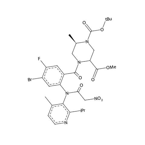 COC(=O)C1CN(C(=O)OC(C)(C)C)[C@H](C)CN1C(=O)c1cc(F)c(Br)cc1N(C(=O)C[N+](=O)[O-])c1c(C)ccnc1C(C)C